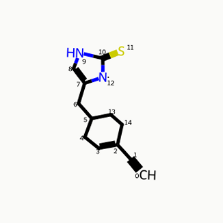 C#CC1=CCC(CC2=CNC(=S)[N]2)CC1